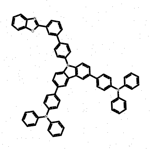 c1ccc(N(c2ccccc2)c2ccc(-c3ccc4c(c3)c3cc(-c5ccc(N(c6ccccc6)c6ccccc6)cc5)ccc3n4-c3ccc(-c4cccc(-c5nc6ccccc6o5)c4)cc3)cc2)cc1